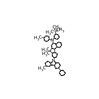 Cc1ccc(N(c2cccc([Si](C)(C)C)c2)c2cc3c(c4ccccc24)-c2ccc(-n4c5ccc(C)cc5c5cc(-c6ccccc6)ccc54)cc2C3(C)C)cc1